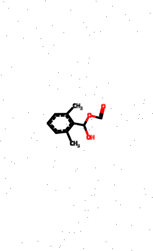 Cc1cccc(C)c1C(O)OC=O